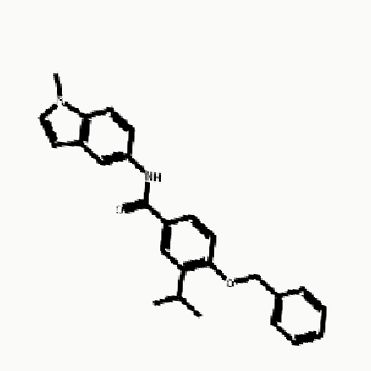 CC(C)c1cc(C(=O)Nc2ccc3c(ccn3C)c2)ccc1OCc1ccccc1